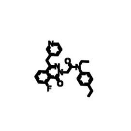 CCc1ccc(N(CC)C(=O)Cn2nc(Cc3cccnc3)c3cccc(F)c3c2=O)cc1